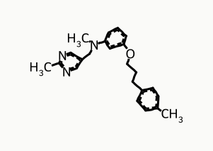 Cc1ccc(CCCOc2cccc(N(C)Cc3cnc(C)nc3)c2)cc1